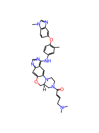 Cc1cc(Nc2ncnc3cc4c(cc23)N2CCN(C(=O)/C=C/CN(C)C)C[C@@H]2CO4)ccc1Oc1ccc2c(c1)ncn2C